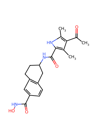 CC(=O)c1c(C)[nH]c(C(=O)NC2CCc3cc(C(=O)NO)ccc3C2)c1C